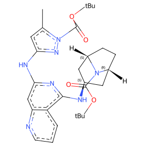 Cc1cc(Nc2cc3ncccc3c(N[C@@H]3C[C@H]4CC[C@@H](C3)N4C(=O)OC(C)(C)C)n2)nn1C(=O)OC(C)(C)C